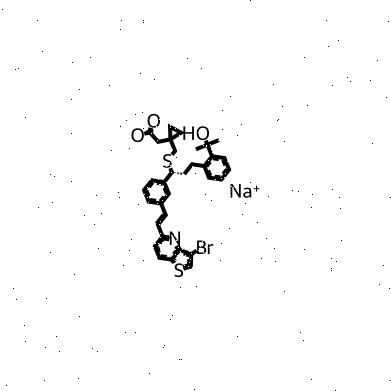 CC(C)(O)c1ccccc1CC[C@@H](SCC1(CC(=O)[O-])CC1)c1cccc(C=Cc2ccc3scc(Br)c3n2)c1.[Na+]